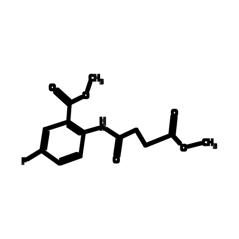 COC(=O)CCC(=O)Nc1ccc(F)cc1C(=O)OC